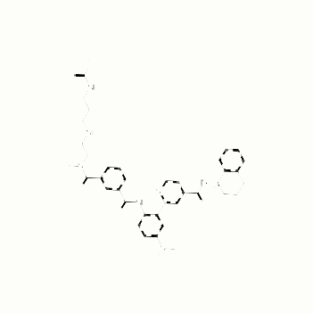 CCN(CC)c1ccc(NC(=O)c2cccc(C(=O)N(C)CCNCCCNC(=O)OC(C)(C)C)c2)c(-c2cc(C(=O)N[C@H]3CCCc4ccccc43)ccn2)c1